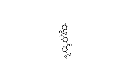 COC(=O)c1cccc(C(=O)c2ccc3c(c2)CCN3S(=O)(=O)c2ccc(C)cc2)c1